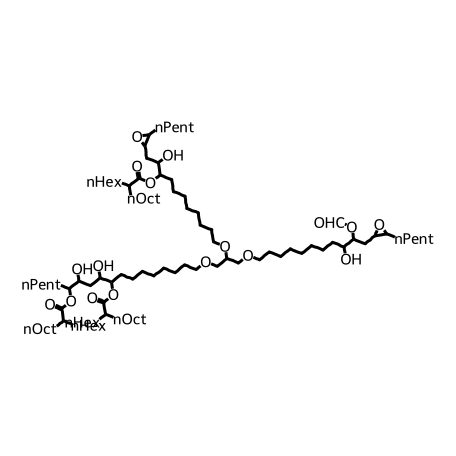 CCCCCCCCC(CCCCCC)C(=O)OC(CCCCC)C(O)CC(O)C(CCCCCCCCOCC(COCCCCCCCCC(O)C(CC1OC1CCCCC)OC=O)OCCCCCCCCC(OC(=O)C(CCCCCC)CCCCCCCC)C(O)CC1OC1CCCCC)OC(=O)C(CCCCCC)CCCCCCCC